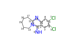 N=c1c2cc(Cl)c(Cl)cc2nc2n1CCCCC2